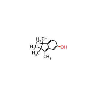 CC1=C2C=C(O)CC=C2C(C)(C)C1(C)C